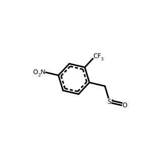 O=[S+]Cc1ccc([N+](=O)[O-])cc1C(F)(F)F